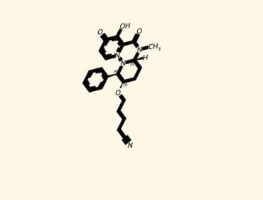 CN1C(=O)c2c(O)c(=O)ccn2N2[C@H](c3ccccc3)[C@@H](OCCCCC#N)CC[C@@H]12